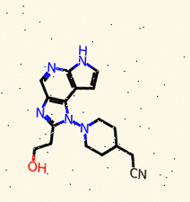 N#CCC1CCN(n2c(CCO)nc3cnc4[nH]ccc4c32)CC1